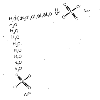 O.O.O.O.O.O.O.O.O.O.O.O.O.O.O.O.O=S(=O)([O-])[O-].O=S(=O)([O-])[O-].[Al+3].[Na+]